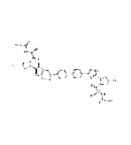 COC(=O)N[C@H](C(=O)N1C[C@@H](C)C[C@@H]1c1nc2cnc(-c3ccc(-c4ccc(-c5c[nH]c([C@@H]6C[C@H](C)CN6C(=O)[C@@H](NC(=O)OC)C(C)C)n5)cc4)cc3)cc2[nH]1)C(C)C